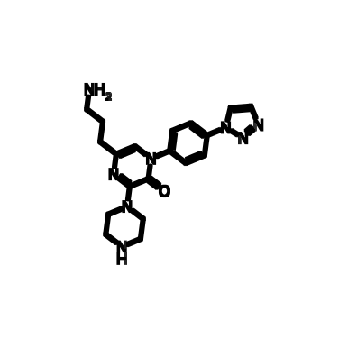 NCCCc1cn(-c2ccc(-n3ccnn3)cc2)c(=O)c(N2CCNCC2)n1